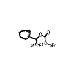 CCCCCCCC(OC(=O)OCCC)c1ccccc1